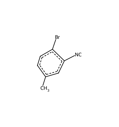 [C-]#[N+]c1cc(C)ccc1Br